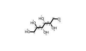 OC[C@@H](O)[C@@H](O)[C@H](O)[C@H](O)CCl